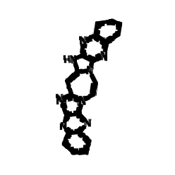 C1=Cn2c(nc3nc4ccccc4nc32)C=C2Nc3nc4ccccc4nc3N12